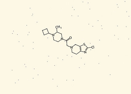 CC1CN(C(=O)CN2CCc3nc(Cl)sc3C2)CCN1C1CCC1